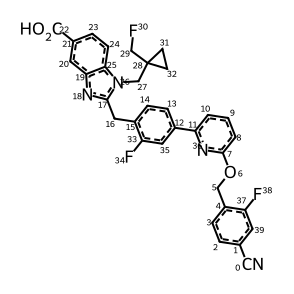 N#Cc1ccc(COc2cccc(-c3ccc(Cc4nc5cc(C(=O)O)ccc5n4CC4(CF)CC4)c(F)c3)n2)c(F)c1